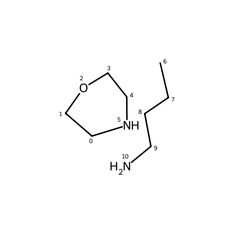 C1COCCN1.CCCCN